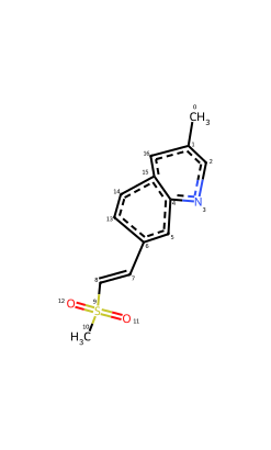 Cc1cnc2cc(/C=C/S(C)(=O)=O)ccc2c1